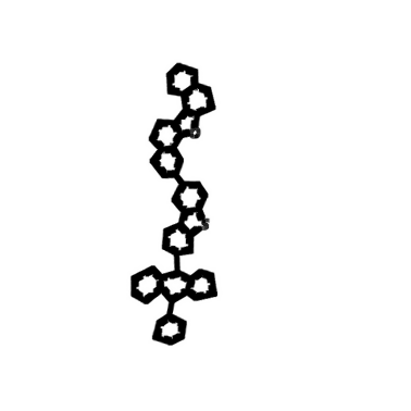 c1ccc(-c2c3ccccc3c(-c3ccc4c(c3)sc3ccc(-c5ccc6ccc7c(oc8ccc9ccccc9c87)c6c5)cc34)c3ccccc23)cc1